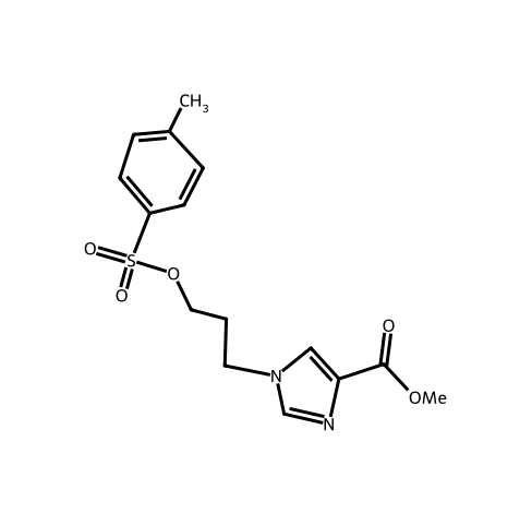 COC(=O)c1cn(CCCOS(=O)(=O)c2ccc(C)cc2)cn1